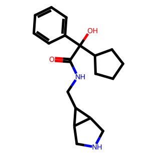 O=C(NCC1C2CNCC21)C(O)(c1ccccc1)C1CCCC1